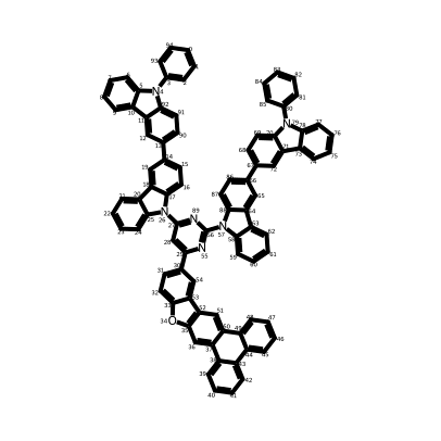 c1ccc(-n2c3ccccc3c3cc(-c4ccc5c(c4)c4ccccc4n5-c4cc(-c5ccc6oc7cc8c9ccccc9c9ccccc9c8cc7c6c5)nc(-n5c6ccccc6c6cc(-c7ccc8c(c7)c7ccccc7n8-c7ccccc7)ccc65)n4)ccc32)cc1